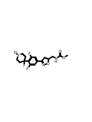 COC(=O)NCC1CC(c2cc(F)c(C3(F)CC[S+]([O-])CC3)c(F)c2)=NO1